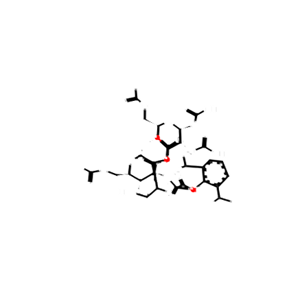 CCC(OC(=O)Oc1c(C(C)C)cccc1C(C)C)[C@]1(OC(C)=O)[C@H](O)[C@@H](COC(C)=O)O[C@H](O[C@H]2[C@H](OC(C)=O)[C@@H](OC(C)=O)[C@H](OC(C)=O)O[C@@H]2COC(C)=O)[C@@H]1OC(C)=O